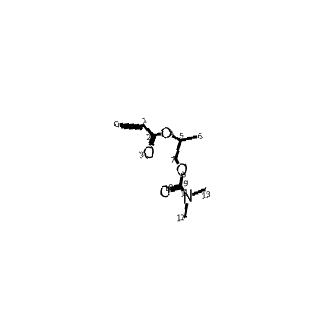 C=CC(=O)OC(C)COC(=O)N(C)C